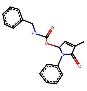 CC1=CC(OC(=O)NCc2ccccc2)N(c2ccccc2)C1=O